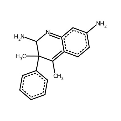 CC1=c2ccc(N)cc2=NC(N)C1(C)c1ccccc1